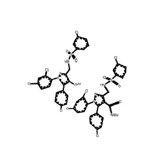 CNC(=O)c1c(CNS(=O)(=O)c2cccc(Cl)c2)nn(-c2ccc(Cl)cc2Cl)c1-c1ccc(Cl)cc1.COc1c(CNS(=O)(=O)c2cccc(Cl)c2)nn(-c2ccc(Cl)cc2Cl)c1-c1ccc(Cl)cc1